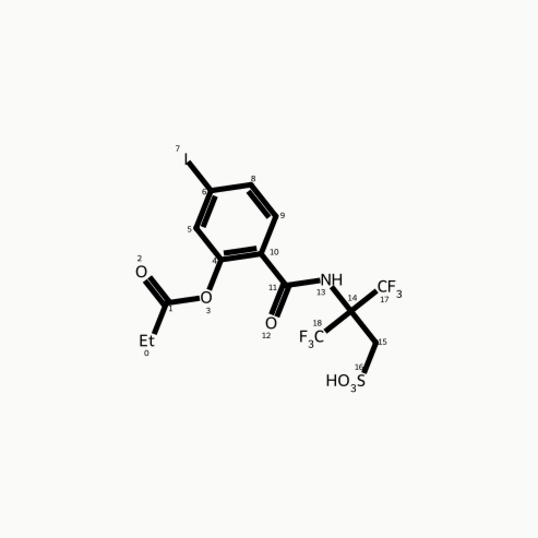 CCC(=O)Oc1cc(I)ccc1C(=O)NC(CS(=O)(=O)O)(C(F)(F)F)C(F)(F)F